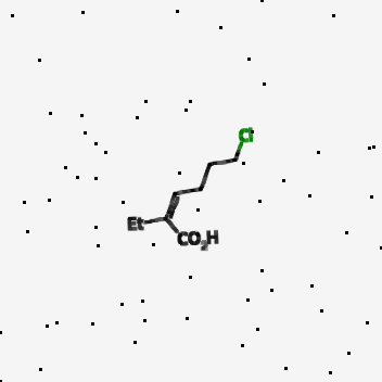 CCC(=CCCCCl)C(=O)O